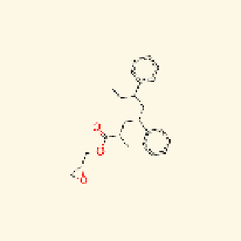 CCC(CC(CC(C)C(=O)OCC1CO1)c1ccccc1)c1ccccc1